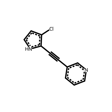 Clc1cc[nH]c1C#Cc1cccnc1